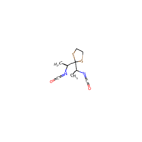 CC(N=C=O)C1(C(C)N=C=O)SCCS1